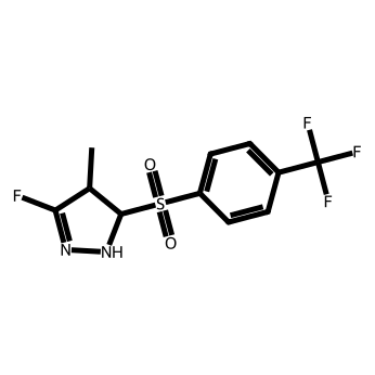 CC1C(F)=NNC1S(=O)(=O)c1ccc(C(F)(F)F)cc1